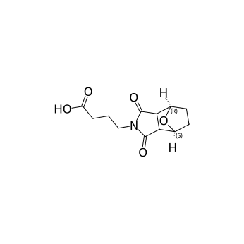 O=C(O)CCCN1C(=O)C2C(C1=O)[C@H]1CC[C@@H]2O1